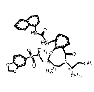 C[C@@H]1CN([C@@H](C)CO)C(=O)c2cccc(NC(=O)Nc3cccc4ccccc34)c2O[C@H]1CN(C)S(=O)(=O)c1ccc2c(c1)OCO2